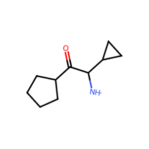 [NH]C(C(=O)C1CCCC1)C1CC1